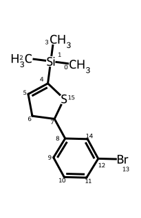 C[Si](C)(C)C1=CCC(c2cccc(Br)c2)S1